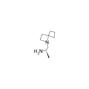 C[C@@H](N)CN1CCC12CCC2